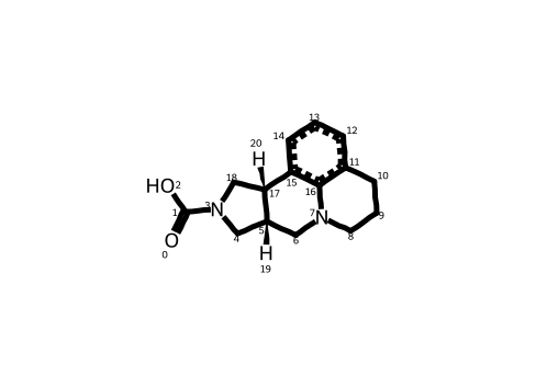 O=C(O)N1C[C@H]2CN3CCCc4cccc(c43)[C@H]2C1